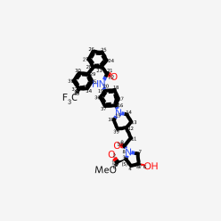 COC(=O)[C@@H]1C[C@H](O)CN1C(=O)CC1CCN(c2ccc(NC(=O)c3ccccc3-c3ccc(C(F)(F)F)cc3)cc2)CC1